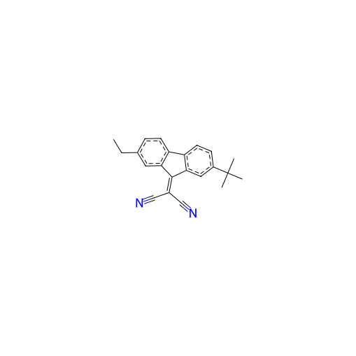 CCc1ccc2c(c1)C(=C(C#N)C#N)c1cc(C(C)(C)C)ccc1-2